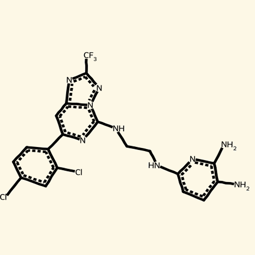 Nc1ccc(NCCNc2nc(-c3ccc(Cl)cc3Cl)cc3nc(C(F)(F)F)nn23)nc1N